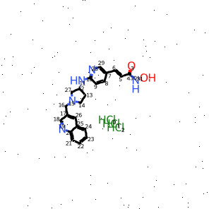 Cl.Cl.Cl.O=C(C=Cc1ccc(N[C@@H]2CCN(Cc3cnc4ccccc4c3)C2)nc1)NO